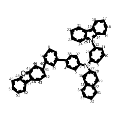 c1cc(-c2ccc(N(c3cccc(-n4c5ccccc5c5ccccc54)c3)c3ccc4ccccc4c3)cc2)cc(-c2ccc3c(c2)oc2ccccc23)c1